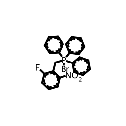 O=[N+]([O-])c1cccc(F)c1CP(Br)(c1ccccc1)(c1ccccc1)c1ccccc1